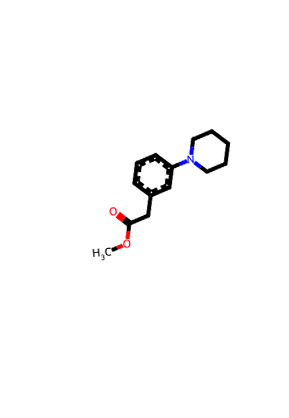 COC(=O)Cc1cccc(N2CCCCC2)c1